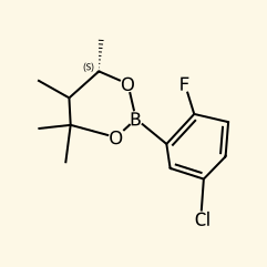 CC1[C@H](C)OB(c2cc(Cl)ccc2F)OC1(C)C